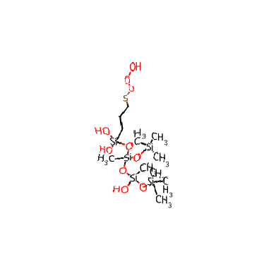 C[Si](C)(C)O[Si](C)(O)O[Si](C)(O[Si](C)(C)C)O[Si](O)(O)CCCSOOO